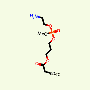 CCCCCCCCCCCC(=O)OCCCOP(=O)(OC)OCCN